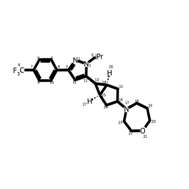 CC(C)n1nc(-c2ccc(C(F)(F)F)cc2)cc1C1[C@H]2CC(N3CCCOCC3)C[C@@H]12